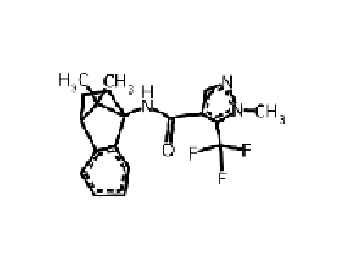 Cn1ncc(C(=O)NC23CCC(c4ccccc42)C3(C)C)c1C(F)(F)F